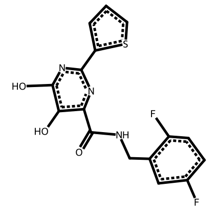 O=C(NCc1cc(F)ccc1F)c1nc(-c2cccs2)nc(O)c1O